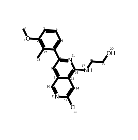 COc1cccc(-c2cc3cnc(Cl)cc3c(NCCO)n2)c1C